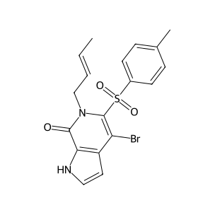 C/C=C/Cn1c(S(=O)(=O)c2ccc(C)cc2)c(Br)c2cc[nH]c2c1=O